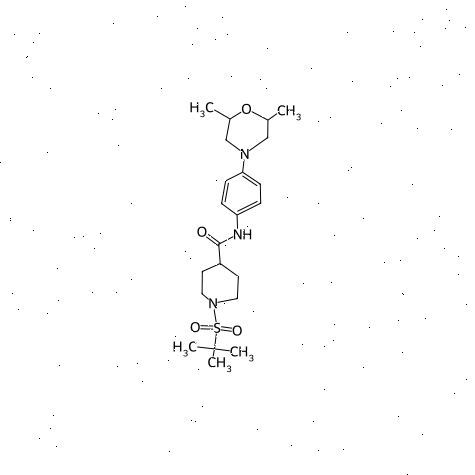 CC1CN(c2ccc(NC(=O)C3CCN(S(=O)(=O)C(C)(C)C)CC3)cc2)CC(C)O1